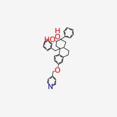 OC1CC2(Cc3ccccc3)c3ccc(OCc4ccncc4)cc3CCC2CC1(O)c1ccccc1